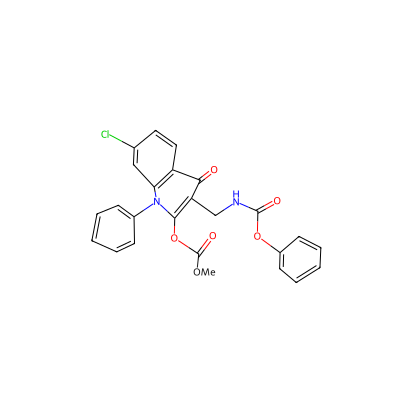 COC(=O)Oc1c(CNC(=O)Oc2ccccc2)c(=O)c2ccc(Cl)cc2n1-c1ccccc1